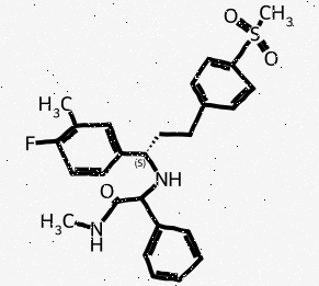 CNC(=O)C(N[C@@H](CCc1ccc(S(C)(=O)=O)cc1)c1ccc(F)c(C)c1)c1ccccc1